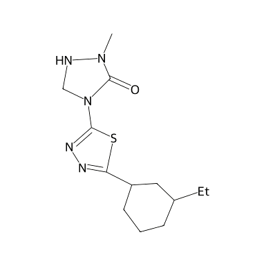 CCC1CCCC(c2nnc(N3CNN(C)C3=O)s2)C1